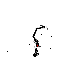 NC[C@@H](O)CCC/C=C\CCCCCCC/C=C\CCCC(=O)NS(=O)(=O)c1ccc(NC(=O)CCc2ccc(C(=O)c3ccccc3)cc2)cc1